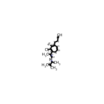 C#CCCC1=C(F)C(Cl)=C(/C(C)=C/N=C(\C)C(=C)C)CC=C1